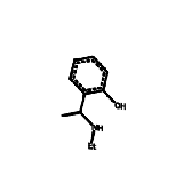 CCNC(C)c1ccccc1O